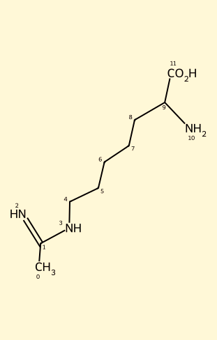 CC(=N)NCCCCCC(N)C(=O)O